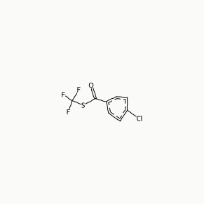 O=C(SC(F)(F)F)c1ccc(Cl)cc1